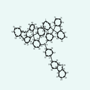 c1ccc(C2(c3ccc(N(c4ccc(-c5ccc6c(c5)sc5ccccc56)cc4)c4cccc5c4-c4ccccc4C54c5ccccc5-n5c6ccccc6c6cccc4c65)cc3)c3ccccc3-c3ccccc32)cc1